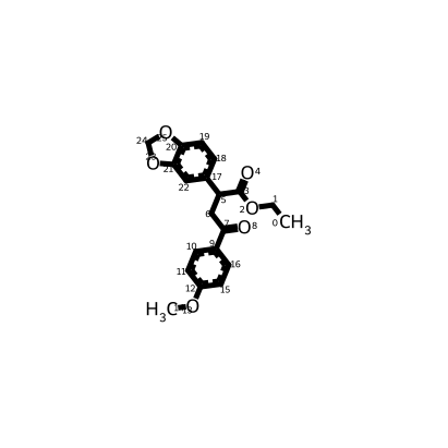 CCOC(=O)C(CC(=O)c1ccc(OC)cc1)c1ccc2c(c1)OCO2